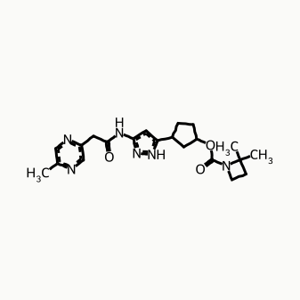 Cc1cnc(CC(=O)Nc2cc(C3CCC(OC(=O)N4CCC4(C)C)C3)[nH]n2)cn1